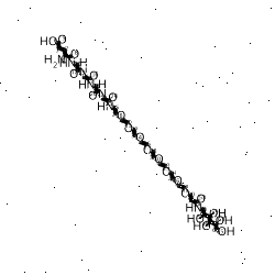 N[C@@H](CCC(=O)O)C(=O)NCC(=O)NCC(=O)NCC(=O)NCC(=O)NCCOCCOCCOCCOCCOCCOCCOCCOCCC(=O)NC[C@H](O)[C@@H](O)[C@H](O)[C@H](O)CO